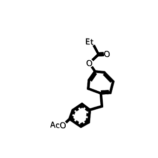 CCC(=O)OC1=CCC(Cc2ccc(OC(C)=O)cc2)=CC=C1